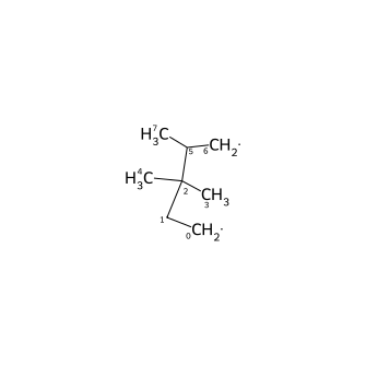 [CH2]CC(C)(C)C([CH2])C